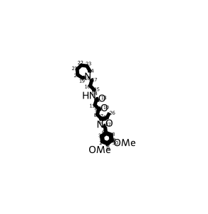 COc1ccc(-c2nc(CC(=O)CC(=O)NCCCN3CCCCCC3)c(C)o2)cc1OC